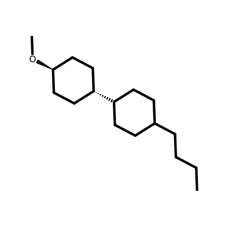 CCCCC1CCC([C@H]2CC[C@H](OC)CC2)CC1